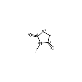 O=C1CSC(=O)N1I